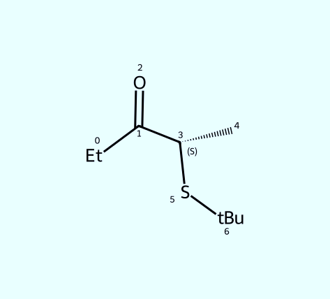 CCC(=O)[C@H](C)SC(C)(C)C